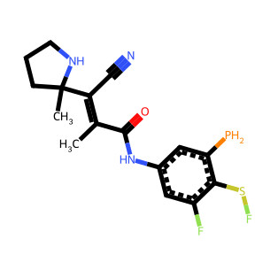 C/C(C(=O)Nc1cc(F)c(SF)c(P)c1)=C(/C#N)C1(C)CCCN1